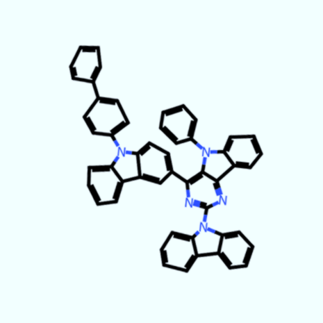 c1ccc(-c2ccc(-n3c4ccccc4c4cc(-c5nc(-n6c7ccccc7c7ccccc76)nc6c7ccccc7n(-c7ccccc7)c56)ccc43)cc2)cc1